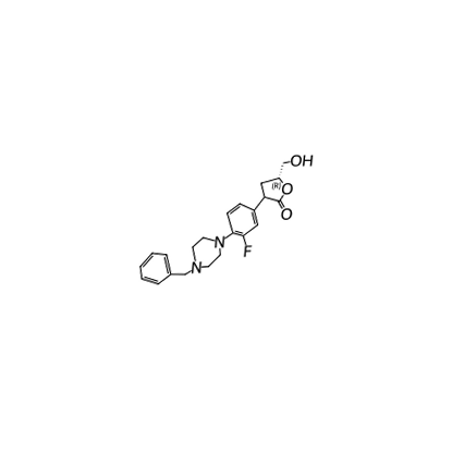 O=C1O[C@@H](CO)CC1c1ccc(N2CCN(Cc3ccccc3)CC2)c(F)c1